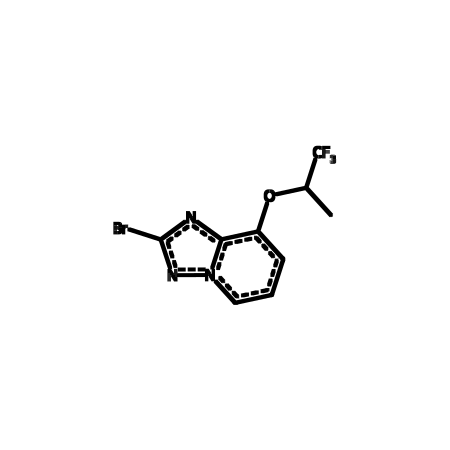 CC(Oc1cccn2nc(Br)nc12)C(F)(F)F